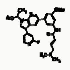 COc1cc(NC(=O)C=CCN(C)C)cc(-c2cnc3c(c2)c(-c2ccnc(F)c2)cn3C(C)OC(C)=O)c1